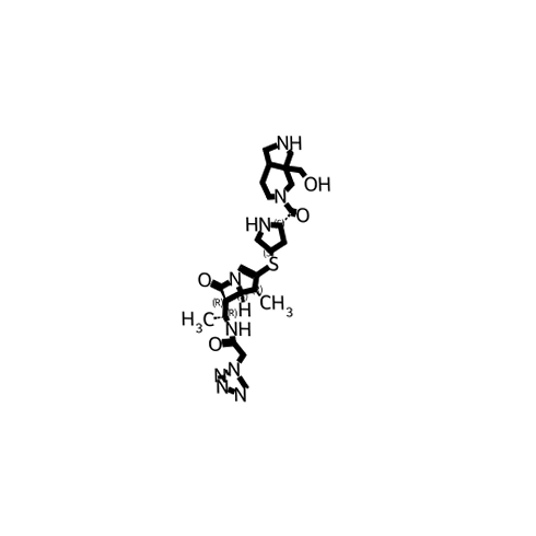 C[C@@H](NC(=O)Cn1cnnn1)[C@H]1C(=O)N2C=C(S[C@@H]3CN[C@H](C(=O)N4CCC5CNCC5(CO)C4)C3)[C@H](C)[C@H]12